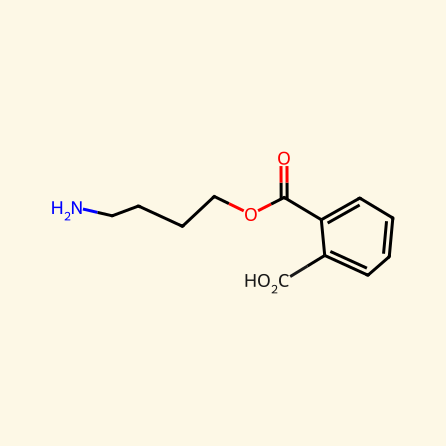 NCCCCOC(=O)c1ccccc1C(=O)O